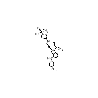 CC(C#N)n1c(C#CCNc2ccc(C(C)(C)C#N)nc2)cc2c(NC3CCN(C)CC3)cccc21